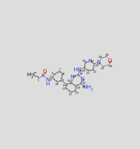 C=CC(=O)Nc1cccc(-c2cccc3c(N)nc(Nc4ccc(N5CCOCC5)nc4)nc23)c1